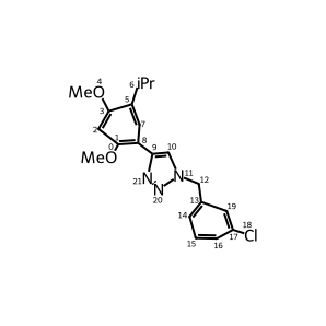 COc1cc(OC)c(C(C)C)cc1-c1cn(Cc2cccc(Cl)c2)nn1